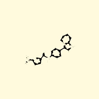 O=C(Nc1ccc(-c2cnc3ccccn23)cc1)c1ccc([N+](=O)[O-])o1